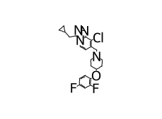 Fc1ccc(OC2CCN(Cc3ccn4c(CC5CC5)nnc4c3Cl)CC2)c(F)c1